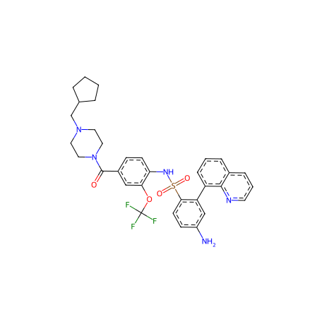 Nc1ccc(S(=O)(=O)Nc2ccc(C(=O)N3CCN(CC4CCCC4)CC3)cc2OC(F)(F)F)c(-c2cccc3cccnc23)c1